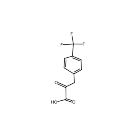 O=C(O)C(=O)Cc1ccc(C(F)(F)F)cc1